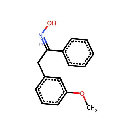 COc1cccc(C/C(=N/O)c2ccccc2)c1